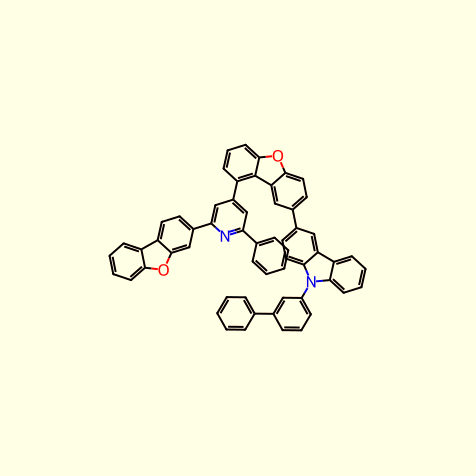 c1ccc(-c2cccc(-n3c4ccccc4c4cc(-c5ccc6oc7cccc(-c8cc(-c9ccccc9)nc(-c9ccc%10c(c9)oc9ccccc9%10)c8)c7c6c5)ccc43)c2)cc1